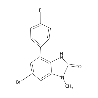 Cn1c(=O)[nH]c2c(-c3ccc(F)cc3)cc(Br)cc21